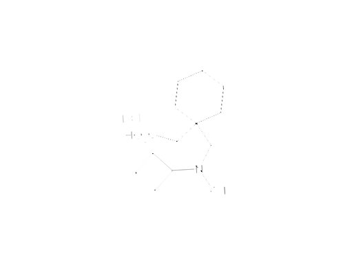 CN(CC1(CC(=O)O)CCCCC1)C1CCC1.Cl